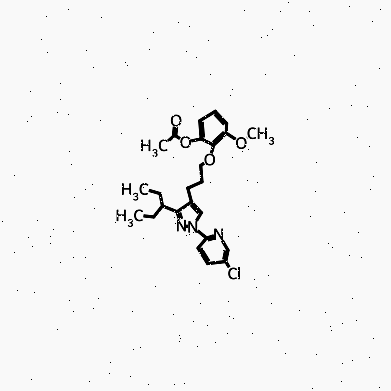 CCC(CC)c1nn(-c2ccc(Cl)cn2)cc1CCCOc1c(OC)cccc1OC(C)=O